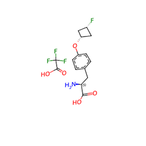 N[C@@H](Cc1ccc(O[C@H]2C[C@@H](F)C2)cc1)C(=O)O.O=C(O)C(F)(F)F